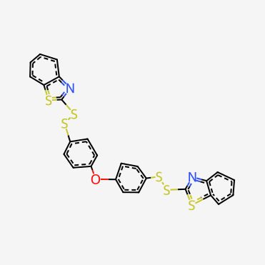 c1ccc2sc(SSc3ccc(Oc4ccc(SSc5nc6ccccc6s5)cc4)cc3)nc2c1